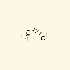 CCOC(=O)Nc1nc2cc(Oc3ccc(NC(=O)Nc4cccc(C#N)c4)cc3)ccc2[nH]1